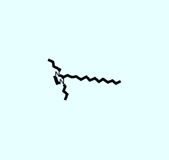 CCCCCCCCCCCCCC1N(CCCC)C=CN1CCCC